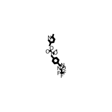 CON(Cc1ccc(-c2noc(C(F)(F)F)n2)cc1)C(=O)OCc1ccc(C)nc1